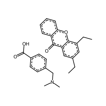 CCc1cc(CC)c2oc3ccccc3c(=O)c2c1.CN(C)Cc1ccc(C(=O)O)cc1